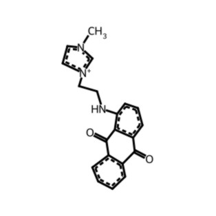 Cn1cc[n+](CCNc2cccc3c2C(=O)c2ccccc2C3=O)c1